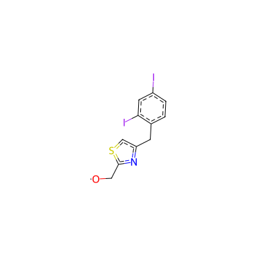 [O]Cc1nc(Cc2ccc(I)cc2I)cs1